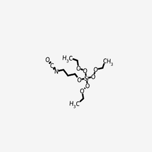 CCOO[Si](OCCCN=C=O)(OOCC)OOCC